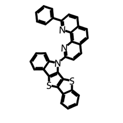 c1ccc(-c2ccc3ccc4ccc(-n5c6ccccc6c6sc7c8ccccc8sc7c65)nc4c3n2)cc1